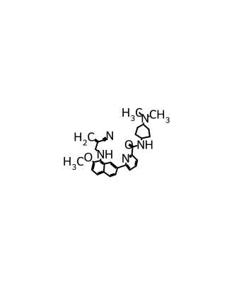 C=C(C#N)CNc1c(OC)ccc2ccc(-c3cccc(C(=O)NC4CCC(N(C)C)CC4)n3)cc12